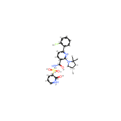 C[C@@H]1CN(c2nc(-c3ccccc3F)ccc2C(=O)NS(=O)(=O)c2ccc[nH]c2=O)C(C)(C)C1